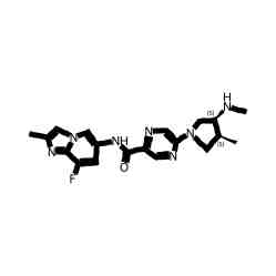 CN[C@@H]1CN(c2cnc(C(=O)Nc3cc(F)c4nc(C)cn4c3)cn2)C[C@@H]1C